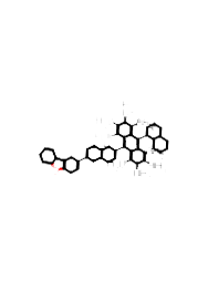 Bc1c(B)c(B)c2c(-c3cccc4ccccc34)c3c(B)c(B)c(B)c(B)c3c(-c3ccc4cc(-c5ccc6oc7ccccc7c6c5)ccc4c3)c2c1B